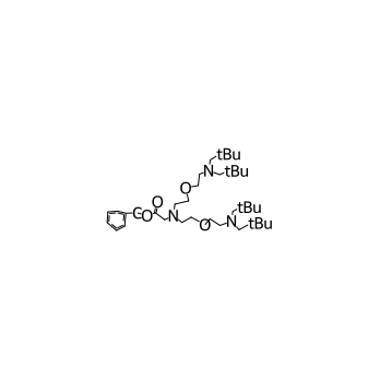 CC(C)(C)CN(CCOCCN(CCOCCN(CC(C)(C)C)CC(C)(C)C)CC(=O)OCc1ccccc1)CC(C)(C)C